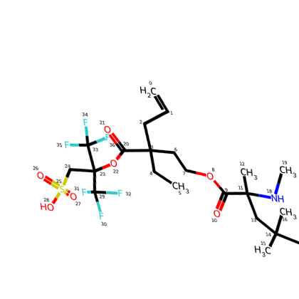 C=CCC(CC)(CCOC(=O)C(C)(CC(C)(C)C)NC)C(=O)OC(CS(=O)(=O)O)(C(F)(F)F)C(F)(F)F